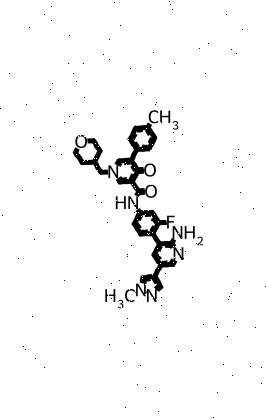 Cc1ccc(-c2cn(CC3CCOCC3)cc(C(=O)Nc3ccc(-c4cc(-c5cnn(C)c5)cnc4N)c(F)c3)c2=O)cc1